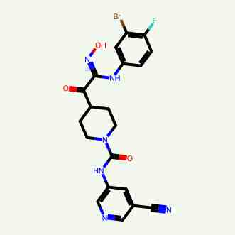 N#Cc1cncc(NC(=O)N2CCC(C(=O)/C(=N/O)Nc3ccc(F)c(Br)c3)CC2)c1